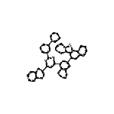 c1ccc(-c2cccc(-c3nc(-c4ccc5ccccc5c4)cc(-c4cc(-c5cc6ccccc6c6sc7ccccc7c56)cc5ccccc45)n3)c2)cc1